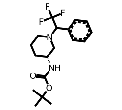 CC(C)(C)OC(=O)N[C@@H]1CCCN(C(c2ccccc2)C(F)(F)F)C1